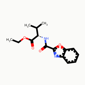 CCOC(=O)[C@@H](NC(=O)c1nc2ccccc2o1)C(C)C